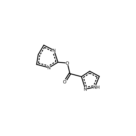 O=C(Oc1ncccn1)c1cc[nH]n1